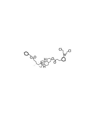 C[C@H](CCC(=O)OCc1ccccc1)[C@H]1CC[C@H]2[C@@H]3CCC4C[C@H](OC(=O)CCc5cccc(N(CCCl)CCCl)c5)CC[C@]4(C)[C@H]3CC[C@]12C